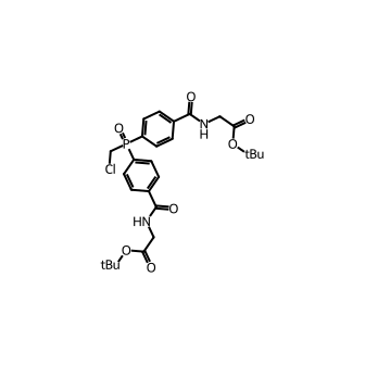 CC(C)(C)OC(=O)CNC(=O)c1ccc(P(=O)(CCl)c2ccc(C(=O)NCC(=O)OC(C)(C)C)cc2)cc1